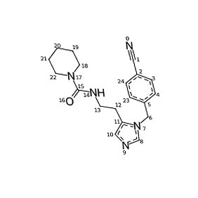 N#Cc1ccc(Cn2cncc2CCNC(=O)N2CCCCC2)cc1